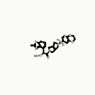 COC(C(=O)N1CC2=C(C1)CN(S(=O)(=O)c1cnc3c(c1)OCCO3)C2)c1cccc2oc(C)nc12